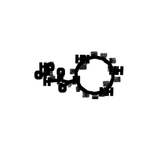 O=[PH](O)CP1(=O)OC1N1CCCNCCNCCCNCC1